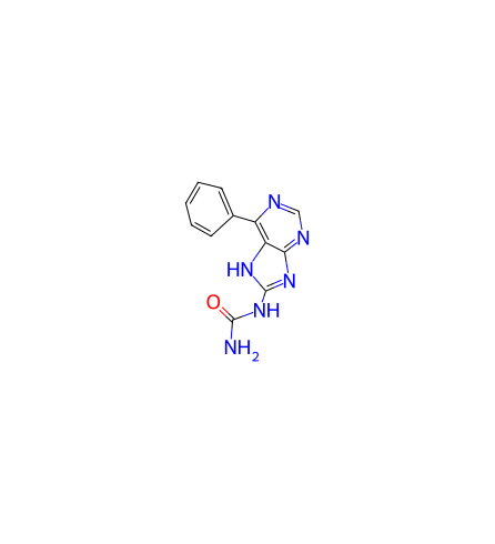 NC(=O)Nc1nc2ncnc(-c3ccccc3)c2[nH]1